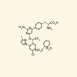 Cc1ccn(-c2cc(Cl)ccc2[C@@H](Oc2cc(-c3ccc(C[C@H](N)C(=O)O)cc3)nc(N)n2)C(F)(F)F)n1.O.O=S(=O)(O)c1ccccc1